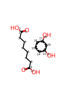 O=C(O)CCCCCCC(=O)O.Oc1cccc(O)c1